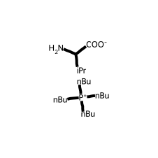 CC(C)C(N)C(=O)[O-].CCCC[P+](CCCC)(CCCC)CCCC